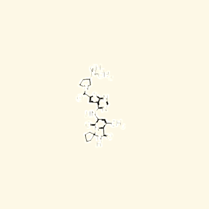 Cc1cc(Nc2ncnc3sc(C(=O)N4CC[C@@H](N(C)C)C4)cc23)c(=O)n2c1C(=O)NC21CCCC1